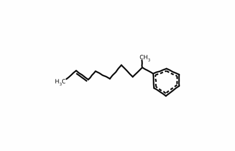 CC=CCCCCC(C)c1ccccc1